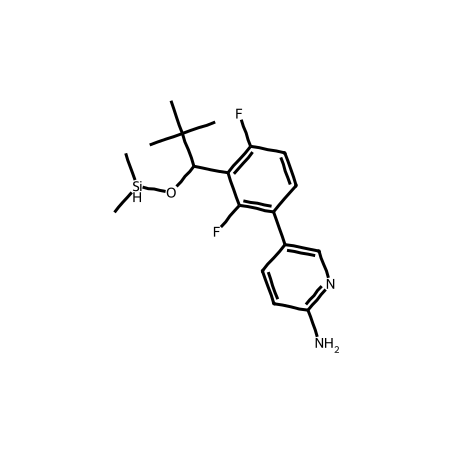 C[SiH](C)OC(c1c(F)ccc(-c2ccc(N)nc2)c1F)C(C)(C)C